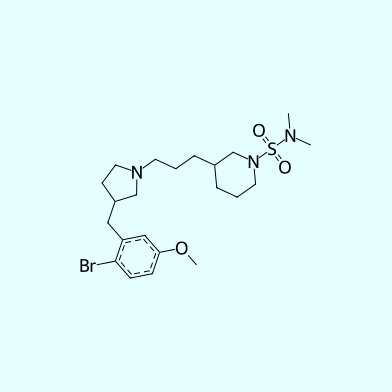 COc1ccc(Br)c(CC2CCN(CCCC3CCCN(S(=O)(=O)N(C)C)C3)C2)c1